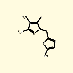 Cc1c(N)c(C(F)(F)F)nn1Cc1ccc(C#N)s1